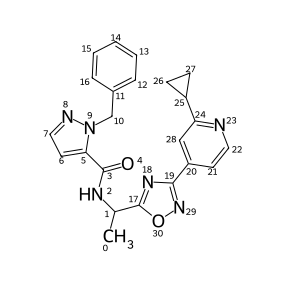 CC(NC(=O)c1ccnn1Cc1ccccc1)c1nc(-c2ccnc(C3CC3)c2)no1